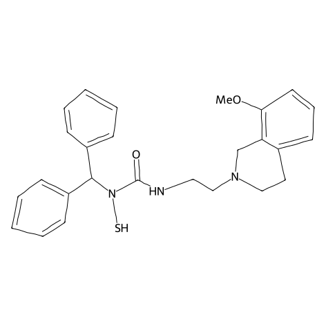 COc1cccc2c1CN(CCNC(=O)N(S)C(c1ccccc1)c1ccccc1)CC2